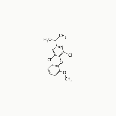 COc1ccccc1Oc1c(Cl)nc(C(C)C)nc1Cl